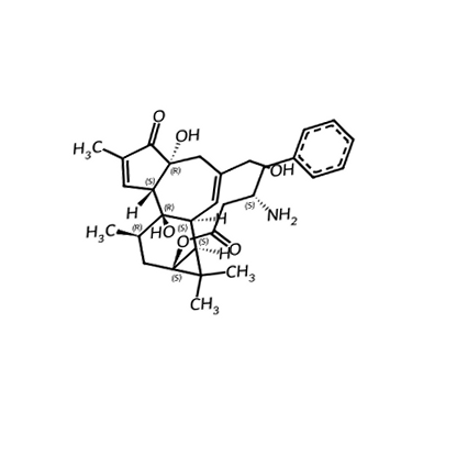 CC1=C[C@H]2[C@@]3(O)[C@H](C)C[C@]4(OC(=O)C[C@@H](N)Cc5ccccc5)[C@@H]([C@@H]3C=C(CO)C[C@]2(O)C1=O)C4(C)C